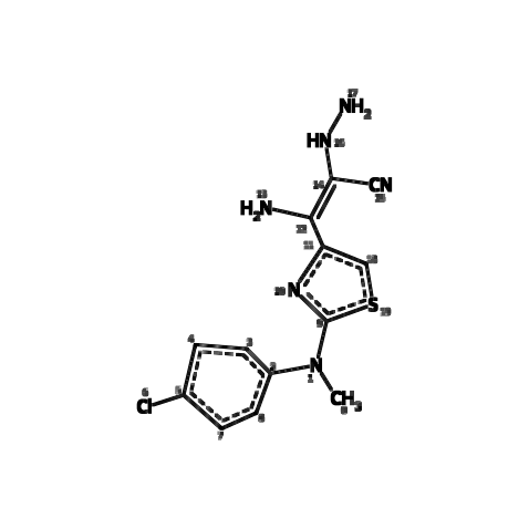 CN(c1ccc(Cl)cc1)c1nc(/C(N)=C(\C#N)NN)cs1